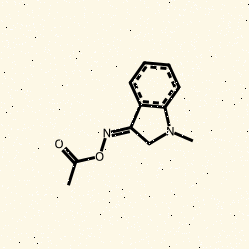 CC(=O)O/N=C1\CN(C)c2ccccc21